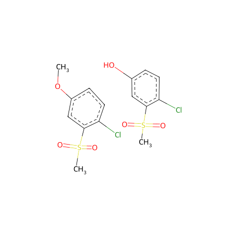 COc1ccc(Cl)c(S(C)(=O)=O)c1.CS(=O)(=O)c1cc(O)ccc1Cl